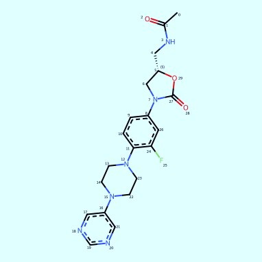 CC(=O)NC[C@H]1CN(c2ccc(N3CCN(c4cncnc4)CC3)c(F)c2)C(=O)O1